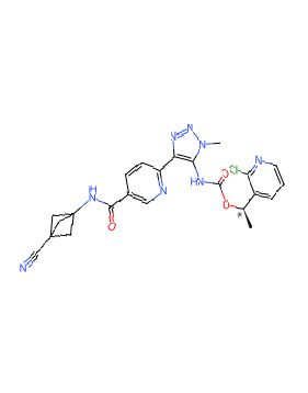 C[C@@H](OC(=O)Nc1c(-c2ccc(C(=O)NC34CC(C#N)(C3)C4)cn2)nnn1C)c1cccnc1Cl